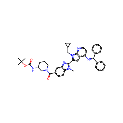 Cn1c(-c2cc3c(N=C(c4ccccc4)c4ccccc4)ccnc3n2CC2CC2)nc2cc(C(=O)N3CCC[C@@H](NC(=O)OC(C)(C)C)C3)ccc21